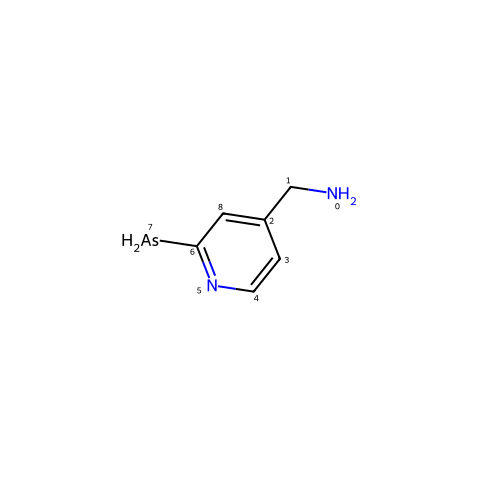 NCc1ccnc([AsH2])c1